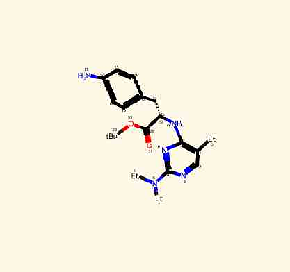 CCc1cnc(N(CC)CC)nc1N[C@@H](Cc1ccc(N)cc1)C(=O)OC(C)(C)C